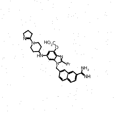 CC(C)c1nc2c(OC(=O)O)cc(NC3CCN(C4=NCCC4)CC3)cc2n1Cc1ccc2ccc(C(=N)N)cc2c1